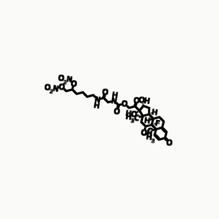 C[C@]12C=CC(=O)C=C1CC[C@H]1[C@@H]3C[C@@H](O)[C@](O)(C(=O)COC(=O)NCC(=O)NCCCCC(CO[N+](=O)[O-])O[N+](=O)[O-])[C@@]3(C)C[C@H](O)[C@@]12F